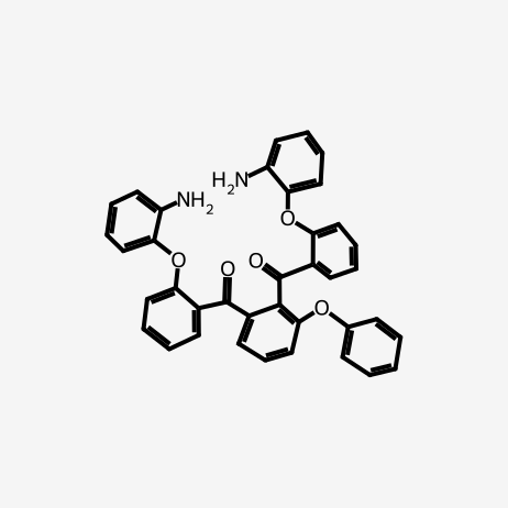 Nc1ccccc1Oc1ccccc1C(=O)c1cccc(Oc2ccccc2)c1C(=O)c1ccccc1Oc1ccccc1N